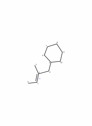 C/C=C(\C)CC1CCCCC1